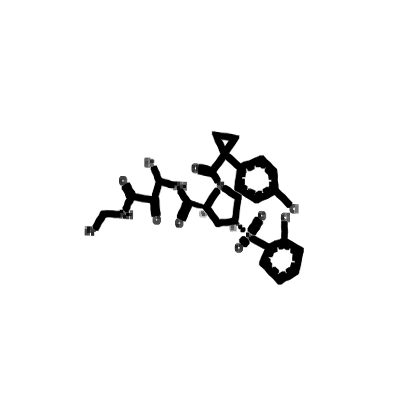 CCC(NC(=O)[C@@H]1C[C@@H](S(=O)(=O)c2ccccc2Cl)CN1C(=O)C1(c2ccc(Cl)cc2)CC1)C(=O)C(=O)NCC(C)C